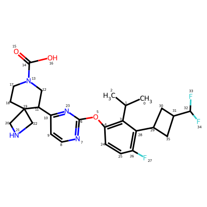 CC(C)c1c(Oc2nccc(C3CN(C(=O)O)CCC34CNC4)n2)ccc(F)c1C1CC(C(F)F)C1